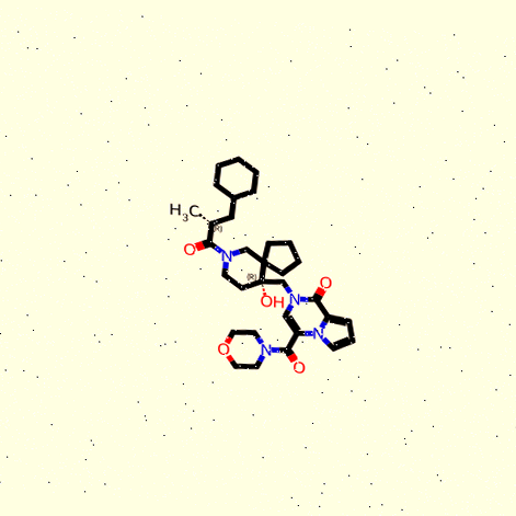 C[C@H](CC1CCCCC1)C(=O)N1CC[C@](O)(Cn2cc(C(=O)N3CCOCC3)n3cccc3c2=O)C2(CCCC2)C1